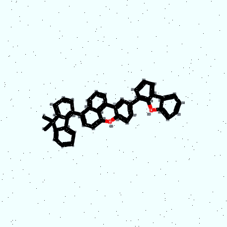 CC1(C)c2ccccc2-c2c(-c3ccc4c5c(cccc35)-c3cc(-c5cccc6c5oc5ccccc56)ccc3O4)cccc21